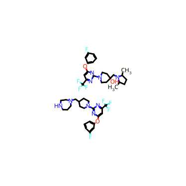 CC1CCC(C)N1CC1(O)CCN(c2nc(Oc3cccc(F)c3)cc(C(F)(F)F)n2)CC1.Fc1cccc(Oc2cc(C(F)(F)F)nc(N3CCC(CN4CCCNCC4)CC3)n2)c1